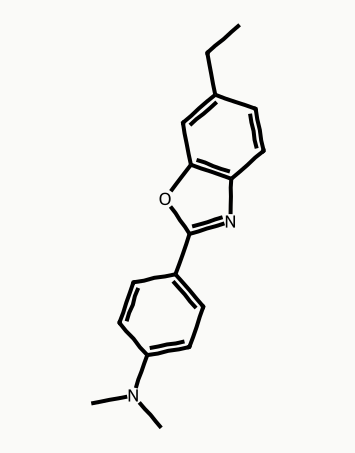 CCc1ccc2nc(-c3ccc(N(C)C)cc3)oc2c1